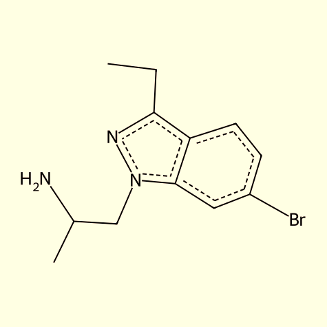 CCc1nn(CC(C)N)c2cc(Br)ccc12